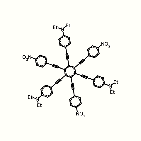 CCN(CC)c1ccc(C#Cc2c(C#Cc3ccc([N+](=O)[O-])cc3)c(C#Cc3ccc(N(CC)CC)cc3)c(C#Cc3ccc([N+](=O)[O-])cc3)c(C#Cc3ccc(N(CC)CC)cc3)c2C#Cc2ccc([N+](=O)[O-])cc2)cc1